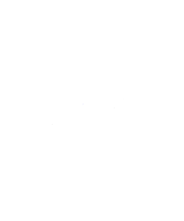 C#C/C=C/CCCCC